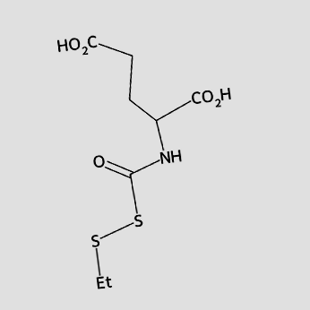 CCSSC(=O)NC(CCC(=O)O)C(=O)O